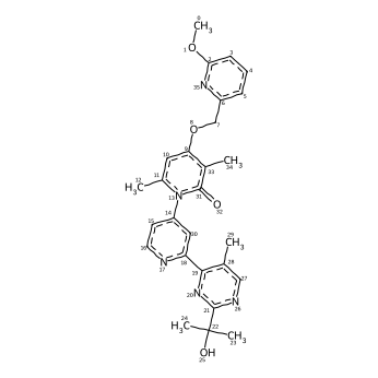 COc1cccc(COc2cc(C)n(-c3ccnc(-c4nc(C(C)(C)O)ncc4C)c3)c(=O)c2C)n1